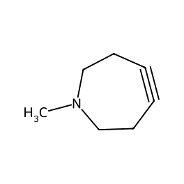 CN1CCC#CCC1